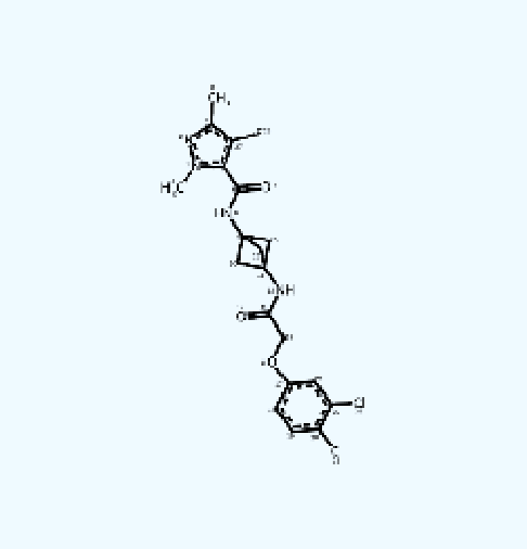 Cc1nn(C)c(C(=O)NC23CC(NC(=O)COc4ccc(Cl)c(Cl)c4)(C2)C3)c1F